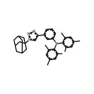 Cc1cc(C)c(B(c2cccc(-c3cn(C45CC6CC(CC(C6)C4)C5)nn3)c2)c2c(C)cc(C)cc2C)c(C)c1